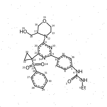 CCNC(=O)Nc1ccc(-c2nc(N3CCOCC3CO)cc(C3(S(=O)(=O)c4ccccc4)CC3)n2)cc1